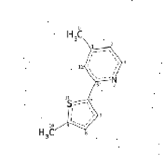 Cc1ccnc(-c2ccc(C)s2)c1